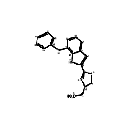 O=C(O)C[C@@H]1CSC(c2cc3cccc(Oc4ccccc4)c3[nH]2)=N1